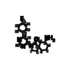 N[C@H]1CCCC2(CCN(c3cc(-c4ccc(F)cc4)ncn3)C2=O)C1